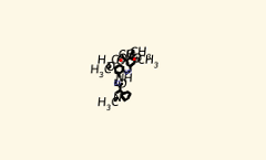 COc1cc(/C=C\c2cc(OC)c(OC)c(OC)c2)c(N/C=C\C(=O)c2cn(C)c3ccccc23)cc1OC